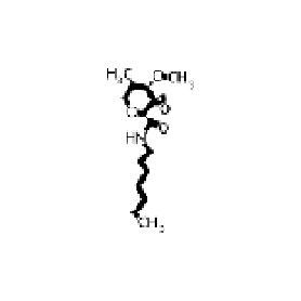 CCCCCCCNC(=O)[C@@H]1OC[C@H](C)[C@H](OC)[C@]12CO2